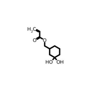 C=CC(=O)OCC1CCCC(O)(O)C1